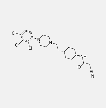 N#CCC(=O)N[C@H]1CC[C@H](CCN2CCN(c3ccc(Cl)c(Cl)c3Cl)CC2)CC1